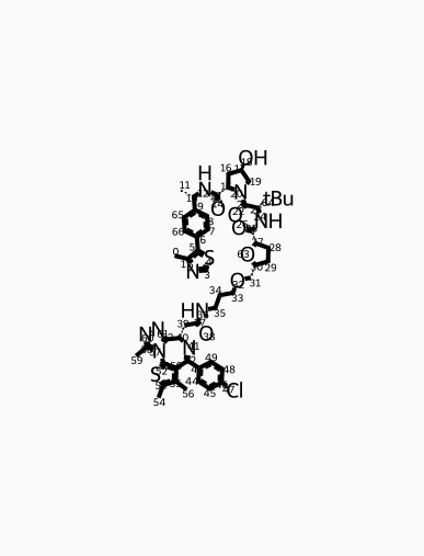 Cc1ncsc1-c1ccc([C@H](C)NC(=O)[C@@H]2C[C@@H](O)CN2C(=O)[C@@H](NC(=O)[C@@H]2CC[C@H](COCCCNC(=O)C[C@@H]3N=C(c4ccc(Cl)cc4)c4c(sc(C)c4C)-n4c(C)nnc43)O2)C(C)(C)C)cc1